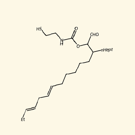 CCC=CCC=CCCCCCC(CCCCCCC)C(C=O)OC(=O)NCCS